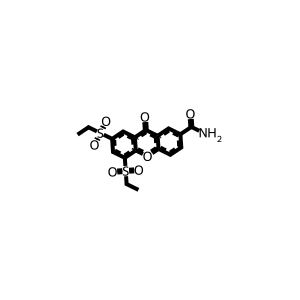 CCS(=O)(=O)c1cc(S(=O)(=O)CC)c2oc3ccc(C(N)=O)cc3c(=O)c2c1